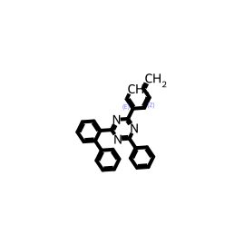 C=C/C=C\C(=C/C)c1nc(-c2ccccc2)nc(-c2ccccc2-c2ccccc2)n1